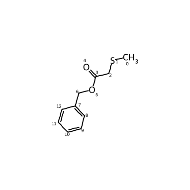 CSCC(=O)OCc1ccccc1